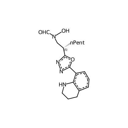 CCCCC[C@@H](CN(O)C=O)c1nnc(-c2cccc3c2NCCC3)o1